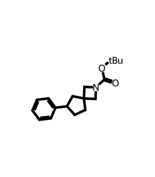 CC(C)(C)OC(=O)N1CC2(CCC(c3ccccc3)C2)C1